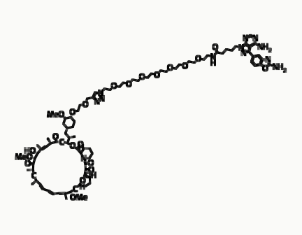 CO[C@H]1C[C@@H]2CC[C@@H](C)[C@@](O)(O2)C(=O)C(=O)N2CCCC[C@H]2C(=O)O[C@H]([C@H](C)C[C@@H]2CC[C@@H](OCCOCc3cn(CCOCCOCCOCCOCCOCCOCCOCCNC(=O)CCCCn4nc(-c5ccc6oc(N)nc6c5)c5c(N)ncnc54)nn3)[C@H](OC)C2)CC(=O)[C@H](C)/C=C(\C)[C@@H](O)[C@@H](OC)C(=O)[C@H](C)C[C@H](C)/C=C/C=C/C=C/1C